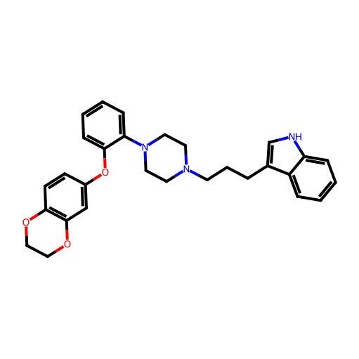 c1ccc(N2CCN(CCCc3c[nH]c4ccccc34)CC2)c(Oc2ccc3c(c2)OCCO3)c1